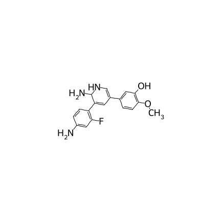 COc1ccc(C2=CNC(N)C(c3ccc(N)cc3F)=C2)cc1O